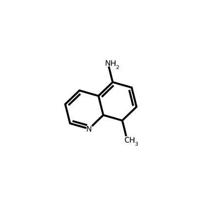 CC1C=CC(N)=C2C=CC=NC21